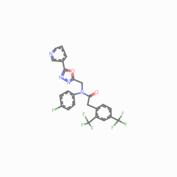 O=C(Cc1ccc(C(F)(F)F)cc1C(F)(F)F)N(Cc1nnc(-c2cccnc2)o1)c1ccc(F)cc1